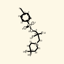 Cc1ccc(S(=O)(=O)OCC(F)(F)CN2CCC(F)(F)CC2)cc1